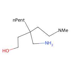 CCCCCC(CN)(CCO)CCNC